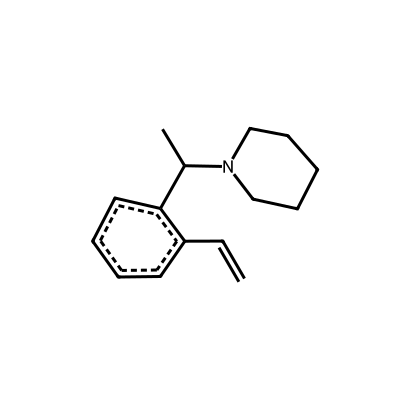 C=Cc1ccccc1C(C)N1CCCCC1